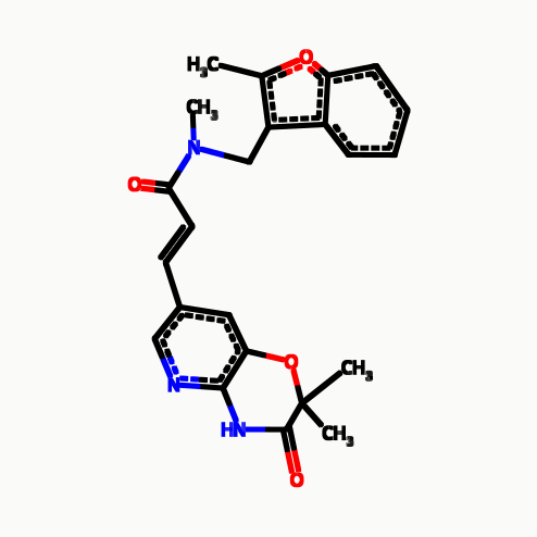 Cc1oc2ccccc2c1CN(C)C(=O)C=Cc1cnc2c(c1)OC(C)(C)C(=O)N2